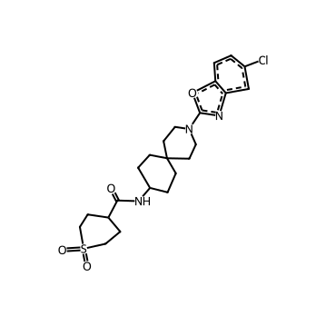 O=C(NC1CCC2(CC1)CCN(c1nc3cc(Cl)ccc3o1)CC2)C1CCS(=O)(=O)CC1